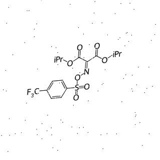 CC(C)OC(=O)C(=NOS(=O)(=O)c1ccc(C(F)(F)F)cc1)C(=O)OC(C)C